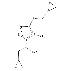 Cn1c(SCC2CC2)nnc1C(N)CC1CC1